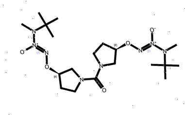 CN(/[N+]([O-])=N/O[C@@H]1CCN(C(=O)N2CC[C@@H](O/N=[N+](\[O-])N(C)C(C)(C)C)C2)C1)C(C)(C)C